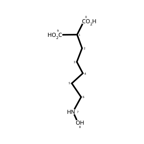 O=C(O)C(CCCCCNO)C(=O)O